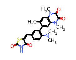 Cc1cc2c(cc1-c1cc(/C=C3/SC(=O)NC3=O)ccc1N(C)C)n(C)c(=O)c(=O)n2C